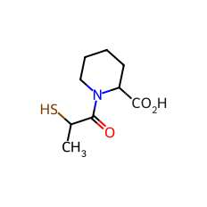 CC(S)C(=O)N1CCCCC1C(=O)O